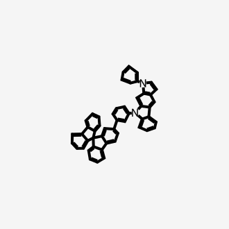 c1ccc(-n2ccc3cc4c5ccccc5n(-c5cccc(-c6ccc7c(c6)C6(c8ccccc8-c8ccccc86)c6ccccc6-7)c5)c4cc32)cc1